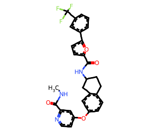 CNC(=O)c1cc(Oc2ccc3c(c2)CC(NC(=O)c2ccc(-c4cccc(C(F)(F)F)c4)o2)CC3)ccn1